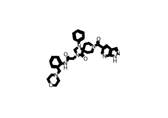 O=C(CN1CN(c2ccccc2)C2(CCN(C(=O)c3cnc4[nH]ncc4c3)CC2)C1=O)Nc1ccccc1CN1CCOCC1